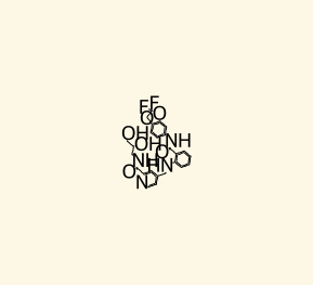 O=C(NCC(O)CO)c1cc(CNc2ccccc2C(=O)Nc2ccc3c(c2)OC(F)(F)O3)ccn1